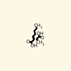 C=CC(=O)O.CCCCC=CC(=O)O